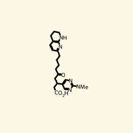 CNc1ncc(C(CC(=O)O)CC(=O)CCCCc2ccc3c(n2)NCCC3)cn1